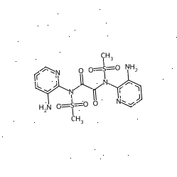 CS(=O)(=O)N(C(=O)C(=O)N(c1ncccc1N)S(C)(=O)=O)c1ncccc1N